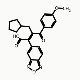 COc1ccc(C(=O)/C(CC2CCCC2)=C(/C(=O)O)c2ccc3nonc3c2)cc1